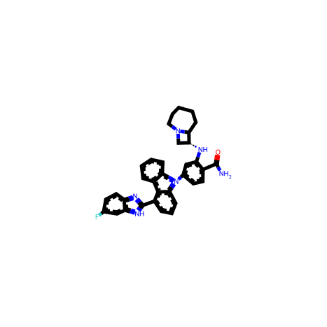 NC(=O)c1ccc(-n2c3ccccc3c3c(-c4nc5ccc(F)cc5[nH]4)cccc32)cc1N[C@@H]1CN2CCCCCC12